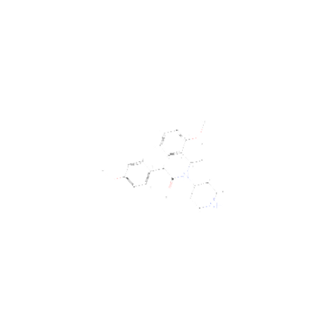 COc1ccc(CC(=O)N(C2CCNCC2)C(C)c2ccccc2OC)cc1